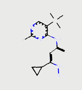 Bc1ncc([Si](C)(C)C)c(NC(=C)/C=C(\NN)C2CC2)n1